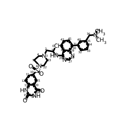 CC(CN1CCN(S(=O)(=O)c2ccc3[nH]c(=O)[nH]c(=O)c3c2)CC1)Nc1ncnc2c(-c3cccc(CN(C)C)c3)cccc12